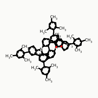 Cc1cc(C)c(-c2ccc3c(c2)c2cc(-c4c(C)cc(C)cc4C)ccc2n3-c2cccc(C#N)c2-c2c(-c3ccc(C(F)(F)F)cc3C(F)(F)F)cccc2-n2c3ccc(-c4c(C)cc(C)cc4C)cc3c3cc(-c4c(C)cc(C)cc4C)ccc32)c(C)c1